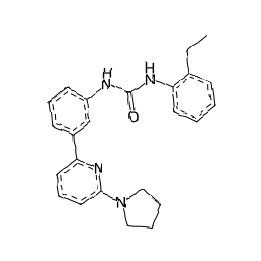 CCc1ccccc1NC(=O)Nc1cccc(-c2cccc(N3CCCC3)n2)c1